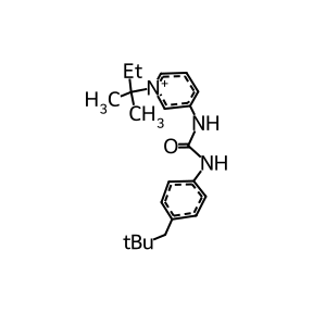 CCC(C)(C)[n+]1cccc(NC(=O)Nc2ccc(CC(C)(C)C)cc2)c1